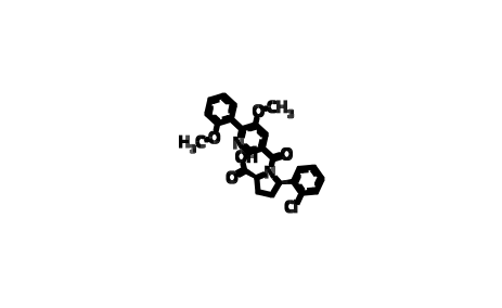 COc1ccccc1-c1ncc(C(=O)N2[C@@H](c3ccccc3Cl)CC[C@H]2C(=O)O)cc1OC